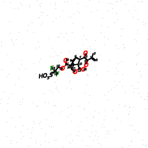 C=C(C)C(=O)C(=O)C1C2CC3C(OC(=O)C31)C2C(=O)OCC(F)(F)S(=O)(=O)O